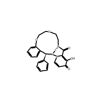 O=C1c2c(O)c(=O)ccn2N2CN1CCOCCOc1ccccc1[C@@H]2c1ccccc1